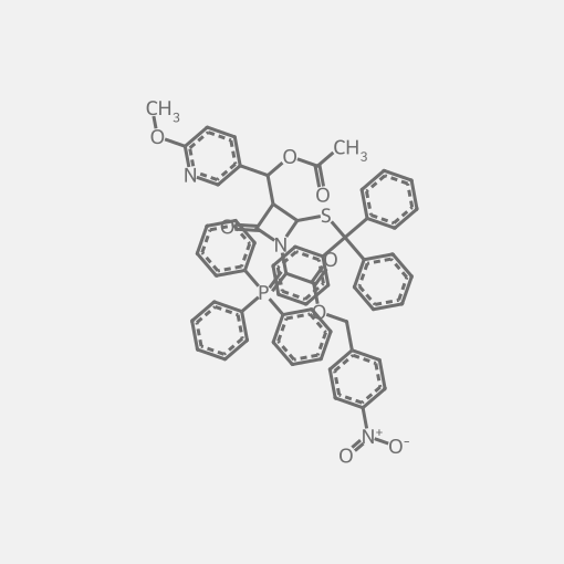 COc1ccc(C(OC(C)=O)C2C(=O)N(C(C(=O)OCc3ccc([N+](=O)[O-])cc3)=P(c3ccccc3)(c3ccccc3)c3ccccc3)C2SC(c2ccccc2)(c2ccccc2)c2ccccc2)cn1